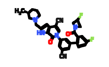 C[C@H]1CCCN(Cc2cc3c(C#N)cn(-c4cc(C#N)cc(-c5ccc(F)cc5C(=O)N5CC(F)C5)c4)c(=O)c3[nH]2)C1